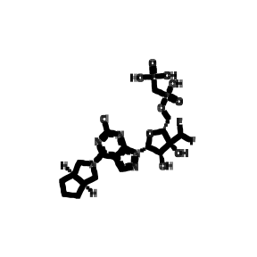 O=P(O)(O)CP(=O)(O)OC[C@H]1O[C@@H](n2ncc3c(N4C[C@H]5CCC[C@H]5C4)nc(Cl)nc32)[C@H](O)[C@@]1(O)C(F)F